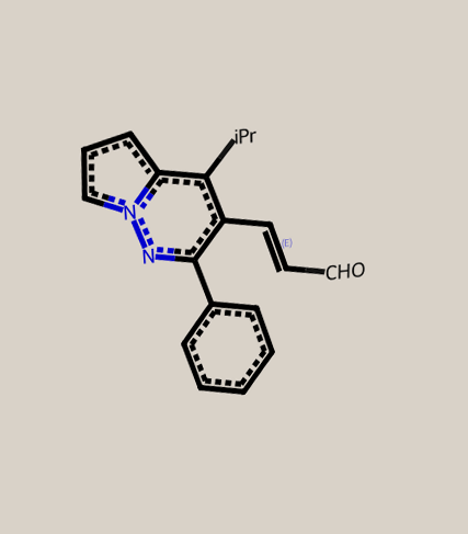 CC(C)c1c(/C=C/C=O)c(-c2ccccc2)nn2cccc12